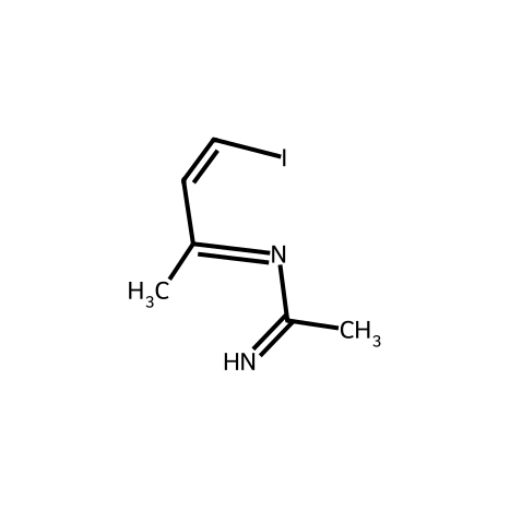 CC(=N)N=C(C)/C=C\I